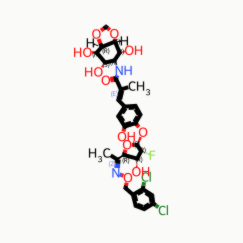 C/C(=N/OCc1ccc(Cl)cc1Cl)[C@H]1O[C@@H](Oc2ccc(/C=C(\C)C(=O)N[C@@H]3[C@H](O)[C@@H](O)[C@H]4OCO[C@H]4[C@@H]3O)cc2O)[C@H](F)[C@@H]1O